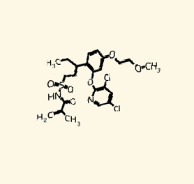 C=C(C)C(=O)NS(=O)(=O)CCC(CC)c1ccc(OCCOC)cc1Oc1ncc(Cl)cc1Cl